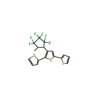 CC1C(c2cc(-c3cccs3)sc2-c2cccs2)C(F)(F)C(F)(F)C1(F)F